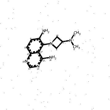 CN(C)C1CN(c2c(N)ccc3ncnc(N)c23)C1